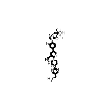 CCc1cnc(N2CCN(c3ncc(-c4ccc(-n5cnn(CC(C)(C)O)c5=O)c(F)c4)cc3C#N)[C@@H](C)C2)nc1